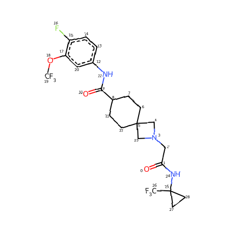 O=C(CN1CC2(CCC(C(=O)Nc3ccc(F)c(OC(F)(F)F)c3)CC2)C1)NC1(C(F)(F)F)CC1